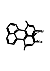 COc1cc(-c2cccc3cccc(-c4cc(C=O)c(O)cc4C)c23)c(C)cc1O